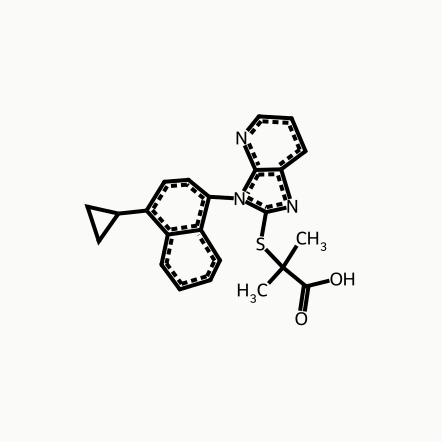 CC(C)(Sc1nc2cccnc2n1-c1ccc(C2CC2)c2ccccc12)C(=O)O